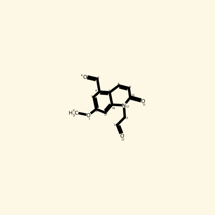 COc1cc(C=O)c2ccc(=O)n(CC=O)c2c1